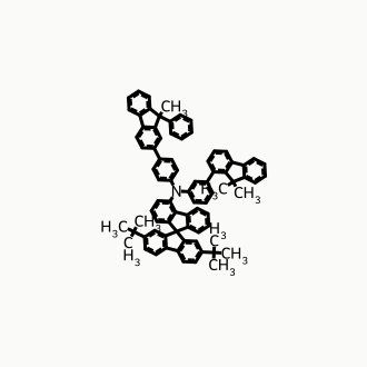 CC(C)(C)c1ccc2c(c1)C1(c3cc(C(C)(C)C)ccc3-2)c2ccccc2-c2c(N(c3ccc(-c4ccc5c(c4)C(C)(c4ccccc4)c4ccccc4-5)cc3)c3cccc(-c4cccc5c4C(C)(C)c4ccccc4-5)c3)cccc21